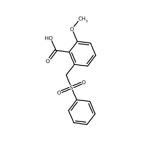 COc1cccc(CS(=O)(=O)c2ccccc2)c1C(=O)O